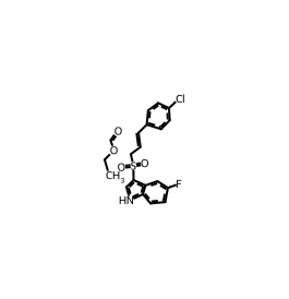 CCOC=O.O=S(=O)(CC=Cc1ccc(Cl)cc1)c1c[nH]c2ccc(F)cc12